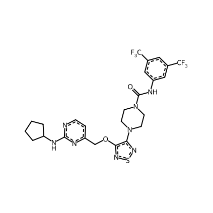 O=C(Nc1cc(C(F)(F)F)cc(C(F)(F)F)c1)N1CCN(c2nsnc2OCc2ccnc(NC3CCCC3)n2)CC1